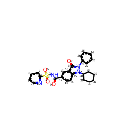 O=C(NS(=O)(=O)c1ccccn1)c1ccc2c(c1)c(=O)n(-c1ccccc1)n2C1CCCCC1